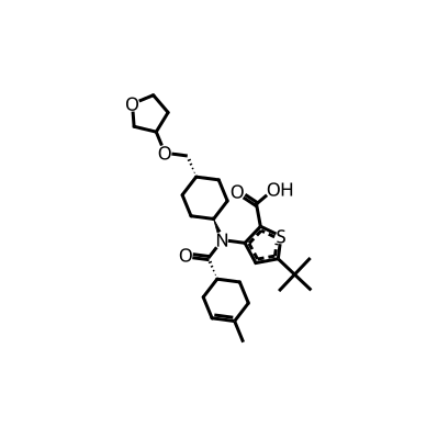 CC1=CC[C@H](C(=O)N(c2cc(C(C)(C)C)sc2C(=O)O)[C@H]2CC[C@H](COC3CCOC3)CC2)CC1